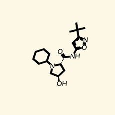 CC(C)(C)c1cc(NC(=O)[C@@H]2C[C@@H](O)CN2C2CCCCC2)on1